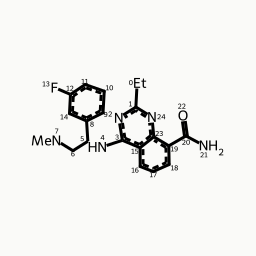 CCc1nc(NC(CNC)c2cccc(F)c2)c2cccc(C(N)=O)c2n1